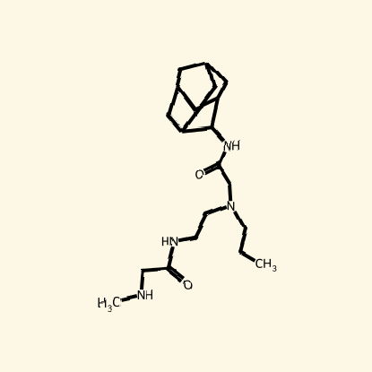 CCCN(CCNC(=O)CNC)CC(=O)NC1C2CC3CC(C2)CC1C3